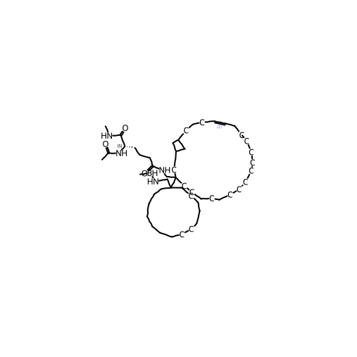 CBNCC1(C2(CNC(=O)CCC[C@H](NC(C)=O)C(=O)NC)CCCCCCCCCCCCCC/C=C\CCCC3CC(C3)C2)CCCCCCCCCCCCCC1